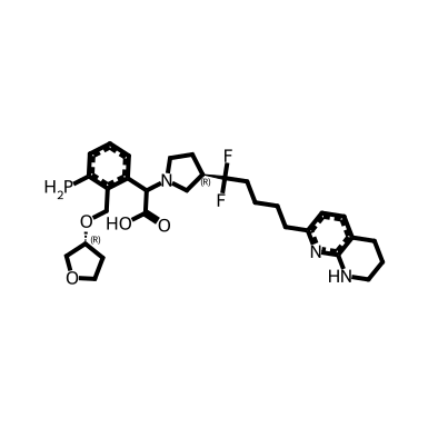 O=C(O)C(c1cccc(P)c1CO[C@@H]1CCOC1)N1CC[C@@H](C(F)(F)CCCCc2ccc3c(n2)NCCC3)C1